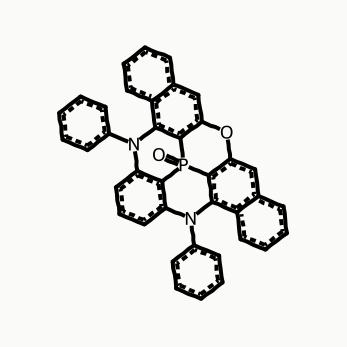 O=P12c3c4cccc3N(c3ccccc3)c3c1c(cc1ccccc31)Oc1cc3ccccc3c(c12)N4c1ccccc1